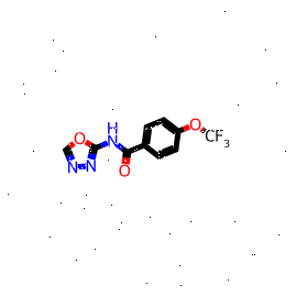 O=C(Nc1nnco1)c1ccc(OC(F)(F)F)cc1